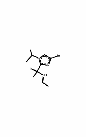 CCNC(C)(I)c1nc(Br)cn1C(C)C